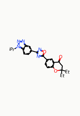 CCC1(CC)CC(=O)c2cc(-c3nc(-c4ccc5c(c4)nnn5C(C)C)no3)ccc2O1